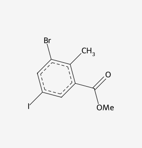 COC(=O)c1cc(I)cc(Br)c1C